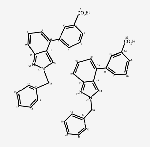 CCOC(=O)c1cccc(-c2cccc3nn(Cc4ccccc4)cc23)c1.O=C(O)c1cccc(-c2cccc3nn(Cc4ccccc4)cc23)c1